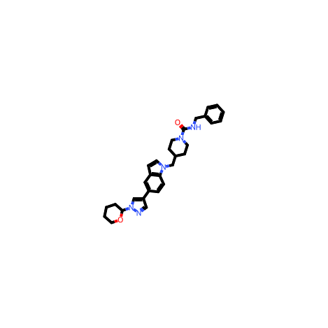 O=C(NCc1ccccc1)N1CCC(Cn2ccc3cc(-c4cnn(C5CCCCO5)c4)ccc32)CC1